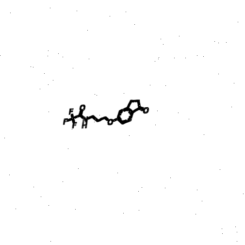 O=C1CCc2cc(OCCCNC(=O)C(F)(F)F)ccc21